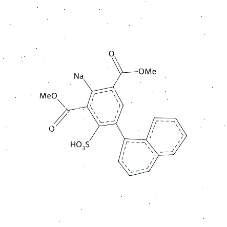 COC(=O)c1cc(-c2cccc3ccccc23)c(S(=O)(=O)O)c(C(=O)OC)[c]1[Na]